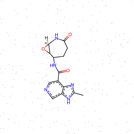 Cc1nc2c(C(=O)NC3CCC(=O)N[C@@H]4OC34)cncc2[nH]1